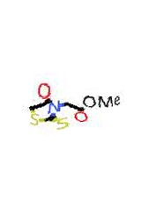 COC(=O)CN1C(=O)CSC1=S